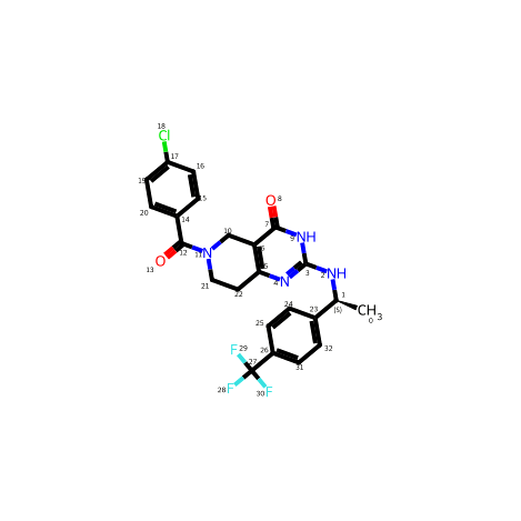 C[C@H](Nc1nc2c(c(=O)[nH]1)CN(C(=O)c1ccc(Cl)cc1)CC2)c1ccc(C(F)(F)F)cc1